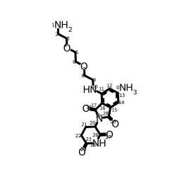 N.NCCOCCOCCNc1cccc2c1C(=O)N(C1CCC(=O)NC1=O)C2=O